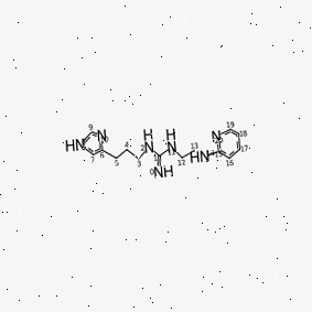 N=C(NCCCc1c[nH]cn1)NCCNc1ccccn1